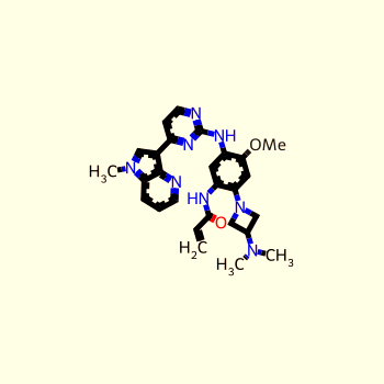 C=CC(=O)Nc1cc(Nc2nccc(-c3cn(C)c4cccnc34)n2)c(OC)cc1N1CC(N(C)C)C1